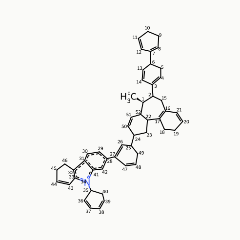 C[C@H]1C(C2=CCC(C3=CCCC=C3)C=C2)CC2=C(CCC=C2)C2CC(C3C=C(c4ccc5c6c(n(C7C=CC=CC7)c5c4)C=CCC6)C=CC3)C=CC21